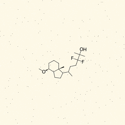 CO[C@H]1CCC[C@]2(C)C(C(C)CCC(F)(F)C(C)(C)O)CCC12